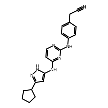 N#CCc1ccc(Nc2nccc(Nc3cc(C4CCCC4)n[nH]3)n2)cc1